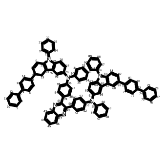 C1=CC(c2ccc(-c3ccccc3)cc2)Cc2c1n(-c1ccccc1)c1ccc(N(c3ccccc3)c3ccc(-c4nc5ccccc5nc4-c4ccc(N(c5ccccc5)c5ccc6c(c5)c5cc(-c7ccc(-c8ccccc8)cc7)ccc5n6-c5ccccc5)cc4)cc3)cc21